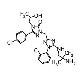 CC(N)(CNc1nc(Cn2nc(-c3ccc(Cl)cc3)n(CC(O)C(F)(F)F)c2=O)nn1-c1ccccc1Cl)C(F)(F)F